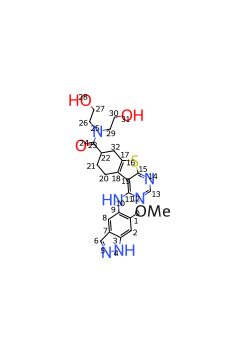 COc1cc2[nH]ncc2cc1Nc1ncnc2sc3c(c12)CCC(C(=O)N(CCO)CCO)C3